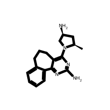 C[C@@H]1C[C@H](N)CN1c1nc(N)nc2c1CCCc1ccccc1-2